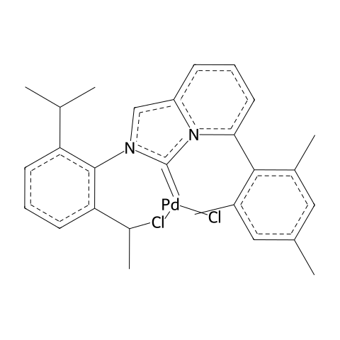 Cc1cc(C)c(-c2cccc3cn(-c4c(C(C)C)cccc4C(C)C)[c](=[Pd]([Cl])[Cl])n23)c(C)c1